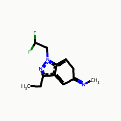 CCc1nn(CC(F)F)c2c1=C/C(=N/C)CC=2